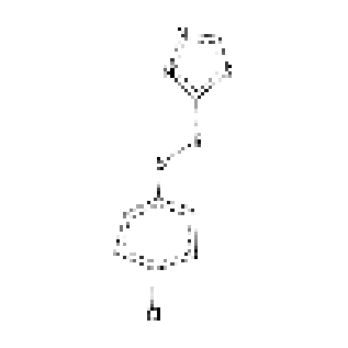 Clc1ccc(SSc2nncs2)cc1